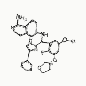 CCOc1cc(O[C@@H]2CCOC2)c(F)c(C(Nc2ccc3c(N)nccc3c2)c2nc(-c3ccccc3)c[nH]2)c1